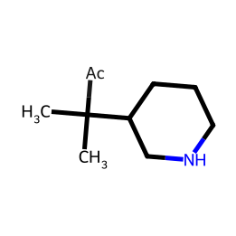 CC(=O)C(C)(C)C1CCCNC1